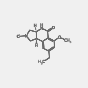 CCc1cc(OC)c2c(c1)[C@@H]1CN(Cl)C[C@H]1NC2=O